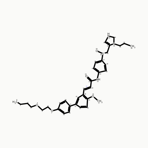 CCCCOCCOc1ccc(-c2ccc(OC)c(/C=C/C(=O)Nc3ccc([S+]([O-])CC4=CNCN4CCC)cc3)c2)cc1